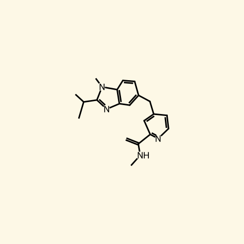 C=C(NC)c1cc(Cc2ccc3c(c2)nc(C(C)C)n3C)ccn1